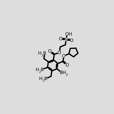 BCc1c(B)c(CB)c(C(=O)OCCS(=O)(=O)O)c(C(=O)OC2CCCC2)c1B